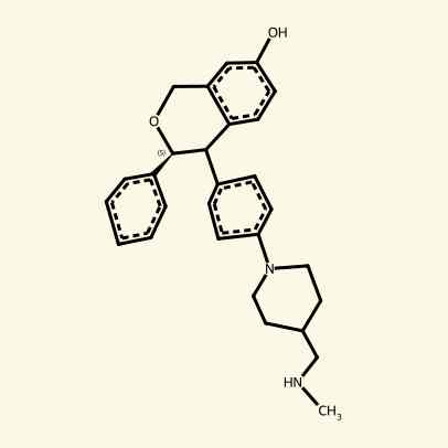 CNCC1CCN(c2ccc(C3c4ccc(O)cc4CO[C@@H]3c3ccccc3)cc2)CC1